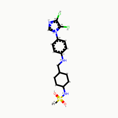 CC(C)S(=O)(=O)NC1CCC(CNc2ccc(-n3cnc(Cl)c3Cl)cc2)CC1